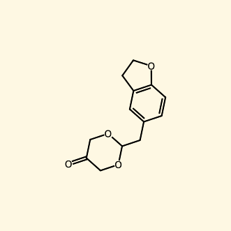 O=C1COC(Cc2ccc3c(c2)CCO3)OC1